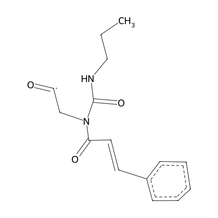 CCCNC(=O)N(C[C]=O)C(=O)C=Cc1ccccc1